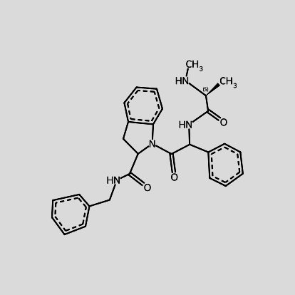 CN[C@@H](C)C(=O)NC(C(=O)N1c2ccccc2CC1C(=O)NCc1ccccc1)c1ccccc1